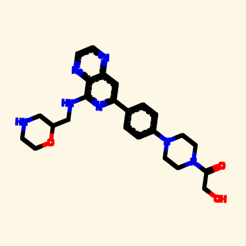 O=C(CO)N1CCN(c2ccc(-c3cc4nccnc4c(NCC4CNCCO4)n3)cc2)CC1